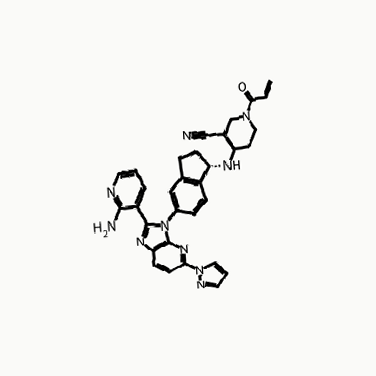 C=CC(=O)N1CCC(N[C@H]2CCc3cc(-n4c(-c5cccnc5N)nc5ccc(-n6cccn6)nc54)ccc32)C(C#N)C1